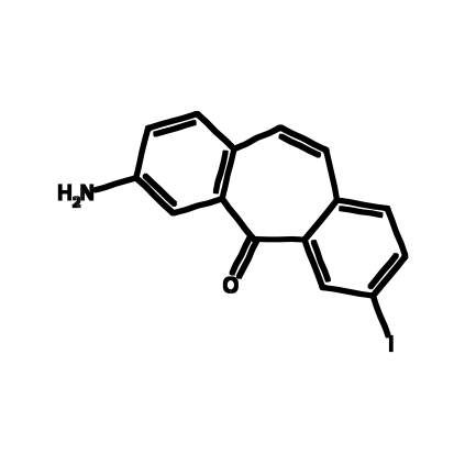 Nc1ccc2ccc3ccc(I)cc3c(=O)c2c1